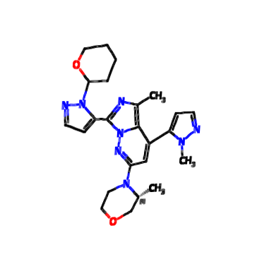 Cc1nc(-c2ccnn2C2CCCCO2)n2nc(N3CCOC[C@H]3C)cc(-c3ccnn3C)c12